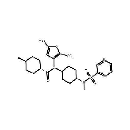 CN([C@H]1CC[C@H](N(c2cc(C(C)(C)C)sc2C(=O)O)C(=O)[C@H]2CC[C@H](C)CC2)CC1)S(=O)(=O)c1cccnc1